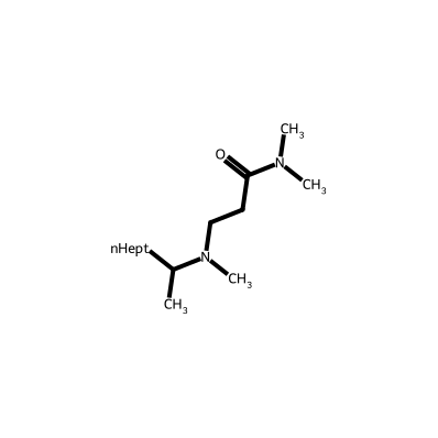 CCCCCCCC(C)N(C)CCC(=O)N(C)C